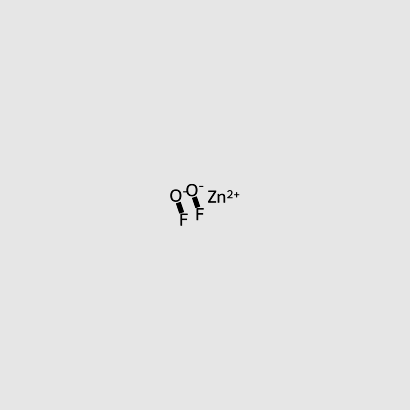 [O-]F.[O-]F.[Zn+2]